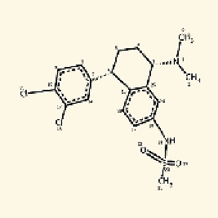 CN(C)[C@H]1CC[C@@H](c2ccc(Cl)c(Cl)c2)c2ccc(NS(C)(=O)=O)cc21